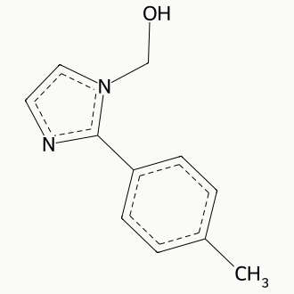 Cc1ccc(-c2nccn2CO)cc1